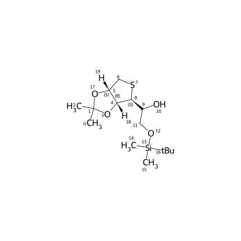 CC1(C)O[C@@H]2[C@@H](CS[C@H]2C(O)CO[Si](C)(C)C(C)(C)C)O1